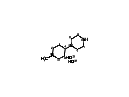 CN1CCC(N2CCNCC2)CC1.Cl.Cl